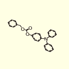 O=C(OCc1ccccc1)Oc1ccc(N(c2ccccc2)c2ccccc2)cc1